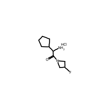 Cl.NC(C(=O)N1CC(F)C1)C1CCCC1